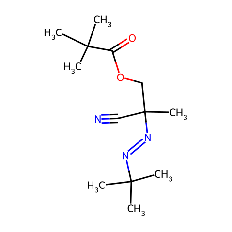 CC(C)(C)N=NC(C)(C#N)COC(=O)C(C)(C)C